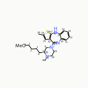 COCCCC[C@H]1CN(C2=Nc3ccccc3Nc3sc(C)cc32)CCN1C